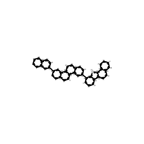 c1ccc2cc(-c3ccc4ccc5c6cc(-c7cccc8c7oc7c9ccccc9ccc87)ccc6ccc5c4c3)ccc2c1